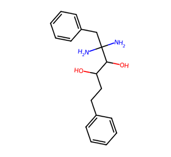 NC(N)(Cc1ccccc1)C(O)C(O)CCc1ccccc1